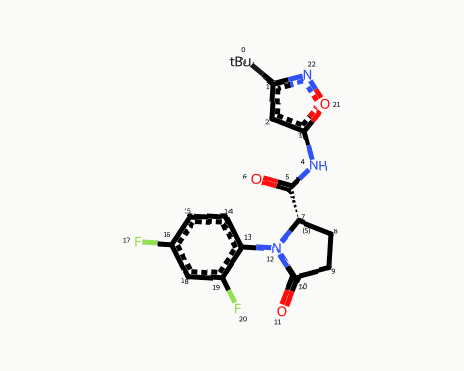 CC(C)(C)c1cc(NC(=O)[C@@H]2CCC(=O)N2c2ccc(F)cc2F)on1